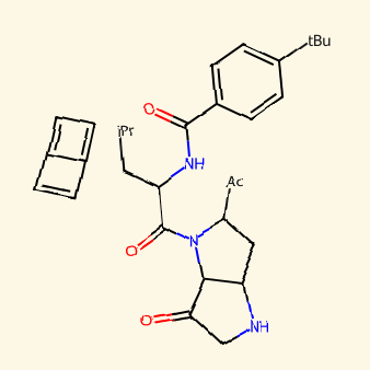 CC(=O)C1CC2NCC(=O)C2N1C(=O)C(CC(C)C)NC(=O)c1ccc(C(C)(C)C)cc1.c1cc2ccc1-2